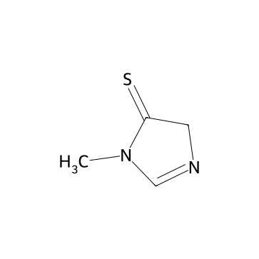 CN1C=NCC1=S